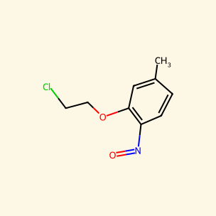 Cc1ccc(N=O)c(OCCCl)c1